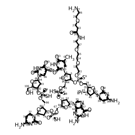 Cc1cn([C@H]2C[C@@H](OP(=S)(OCCOCCOCCNC(=O)CCOCCN)OC[C@H]3O[C@@H](n4ccc(N)nc4=O)C[C@H]3C(C)C)[C@@H](COP(=S)(S)O[C@@H]3C[C@H](n4cnc5c(=O)[nH]c(N)nc54)O[C@@H]3COP(=O)(S)O[C@@H]3C[C@H](n4ccc(N)nc4=O)O[C@@H]3COP(=O)(S)O[C@@H]3C[C@H](n4cc(Br)c(=O)[nH]c4=O)O[C@@H]3CO)O2)c(=O)[nH]c1=O